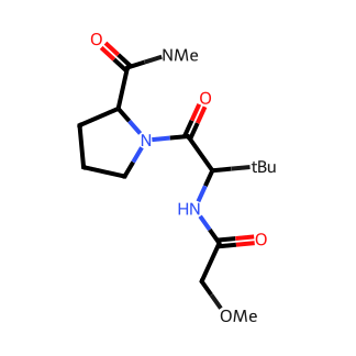 CNC(=O)C1CCCN1C(=O)C(NC(=O)COC)C(C)(C)C